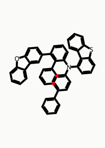 c1ccc(-c2ccc(N(c3cccc(-c4ccc5oc6ccccc6c5c4)c3-c3ccccc3)c3cccc4sc5ccccc5c34)cc2)cc1